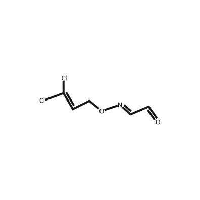 O=CC=NOCC=C(Cl)Cl